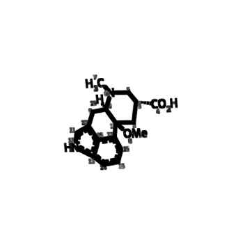 COC12C[C@@H](C(=O)O)CN(C)[C@@H]1Cc1c[nH]c3cccc2c13